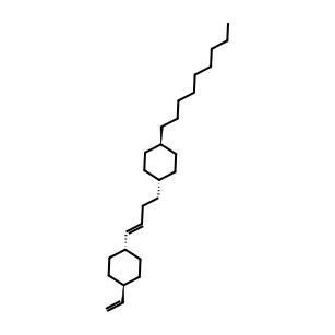 C=C[C@H]1CC[C@H](C=CCC[C@H]2CC[C@H](CCCCCCCCC)CC2)CC1